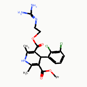 CC1=C(C(=O)OCCN=C(N)N)C(c2cccc(Cl)c2Cl)C(C(=O)OC(C)C)=C(C)N1